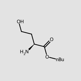 CCCCOC(=O)[C@@H](N)CCO